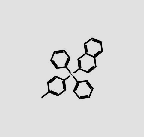 Cc1ccc([Si](c2ccccc2)(c2ccccc2)c2ccc3ccccc3c2)cc1